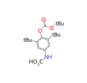 CC(C)(C)OC(=O)Oc1c(C(C)(C)C)cc(NC(=O)O)cc1C(C)(C)C